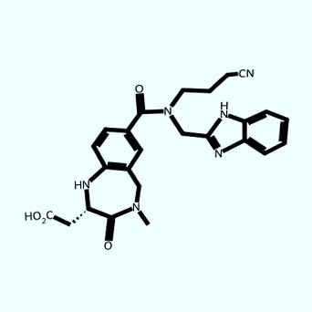 CN1Cc2cc(C(=O)N(CCCC#N)Cc3nc4ccccc4[nH]3)ccc2N[C@@H](CC(=O)O)C1=O